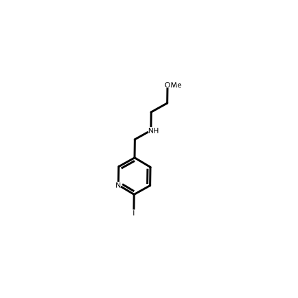 COCCNCc1ccc(I)nc1